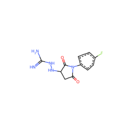 N=C(N)NNC1CC(=O)N(c2ccc(F)cc2)C1=O